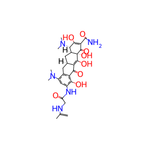 C=C(C)NCC(=O)Nc1cc(N(C)C)c2c(c1O)C(=O)C1=C(O)[C@]3(O)C(=O)C(C(N)=O)=C(O)[C@@H](N(C)C)[C@@H]3C[C@@H]1C2